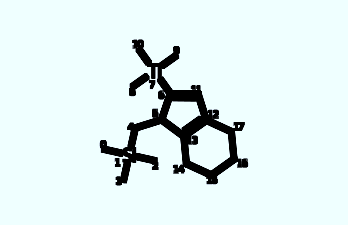 C[Si](C)(C)CC1[C]([Ti]([CH3])([CH3])[CH3])=CC2=C1CCCC2